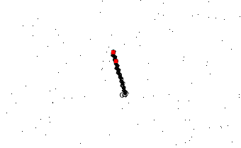 C[S+]([O-])CCCCCCCCCCCCCCOCCCC(C)(C)C